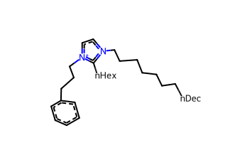 CCCCCCCCCCCCCCCCCn1cc[n+](CCCc2ccccc2)c1CCCCCC